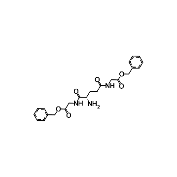 N[C@@H](CCC(=O)NCC(=O)OCc1ccccc1)C(=O)NCC(=O)OCc1ccccc1